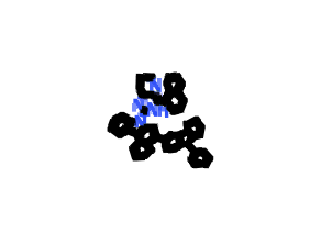 N=C(/N=C1/C=CC=N/C1=C\c1cccc2ccccc12)n1c2ccccc2c2c3ccccc3c(-c3ccc4c(c3)-c3ccccc3C4c3ccccc3)cc21